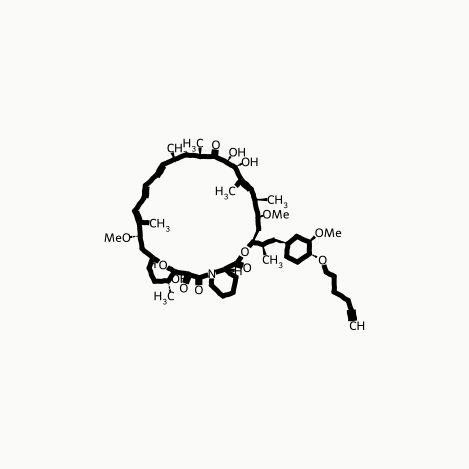 C#CCCCCO[C@@H]1CC[C@@H](C[C@@H](C)[C@@H]2C[C@@H](OC)[C@H](C)/C=C(\C)[C@@H](O)[C@@H](O)C(=O)[C@H](C)C[C@H](C)/C=C/C=C/C=C(\C)[C@@H](OC)C[C@@H]3CC[C@@H](C)[C@@](O)(O3)C(=O)C(=O)N3CCCC[C@H]3C(=O)O2)C[C@H]1OC